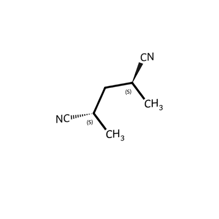 C[C@H](C#N)C[C@H](C)C#N